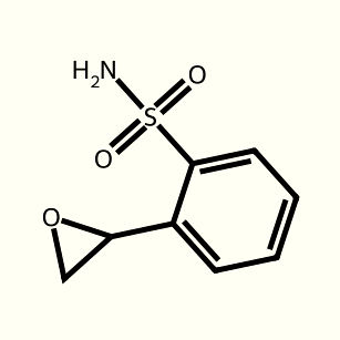 NS(=O)(=O)c1ccccc1C1CO1